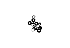 COc1ccc(C(OCC23COC(C(c4cccc5ccccc45)O2)C3O)(c2ccccc2)c2ccc(OC)cc2)cc1